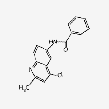 Cc1cc(Cl)c2cc(NC(=O)c3ccccc3)ccc2n1